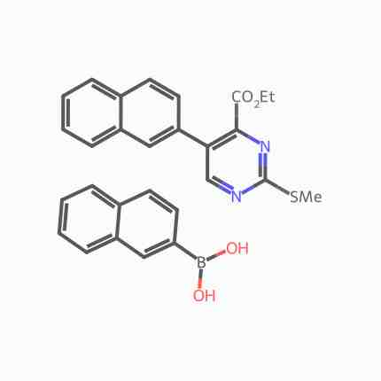 CCOC(=O)c1nc(SC)ncc1-c1ccc2ccccc2c1.OB(O)c1ccc2ccccc2c1